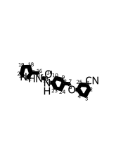 N#Cc1cccc(OCc2ccc(NC(=O)NCc3cccnc3)cc2)c1